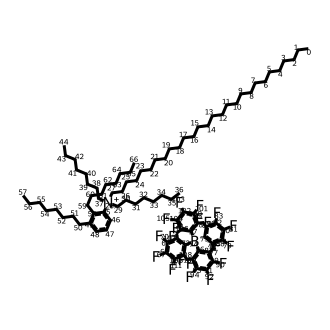 CCCCCCCCCCCCCCCCCCCCCCCCCCCC[N+](CCCCCCCC)(CCCCCCCC)c1cccc(CCCCCCCC)c1CCCCCCCC.Fc1c(F)c(F)c([B-](c2c(F)c(F)c(F)c(F)c2F)(c2c(F)c(F)c(F)c(F)c2F)c2c(F)c(F)c(F)c(F)c2F)c(F)c1F